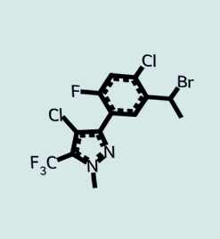 CC(Br)c1cc(-c2nn(C)c(C(F)(F)F)c2Cl)c(F)cc1Cl